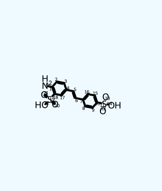 Nc1ccc(C=Cc2ccc(S(=O)(=O)O)cc2)cc1S(=O)(=O)O